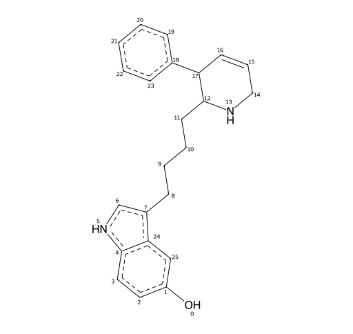 Oc1ccc2[nH]cc(CCCCC3NCC=CC3c3ccccc3)c2c1